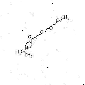 CCOCCOCCOCCOC(=O)N1CCN(C(C)C)CC1